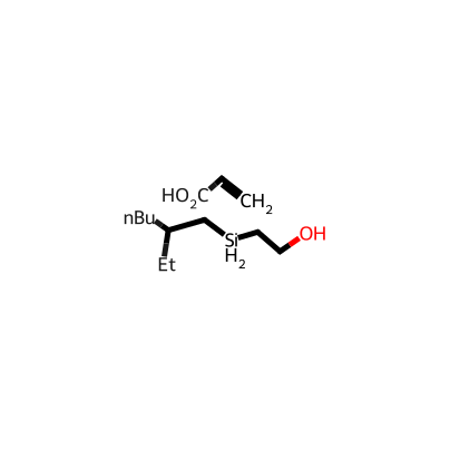 C=CC(=O)O.CCCCC(CC)C[SiH2]CCO